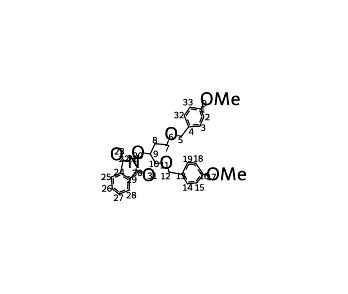 COc1ccc(COCCC(COCc2ccc(OC)cc2)ON2C(=O)c3ccccc3C2=O)cc1